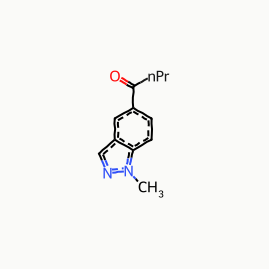 CCCC(=O)c1ccc2c(cnn2C)c1